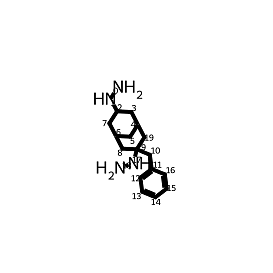 NNC1CC2CC(C1)CC(Cc1ccccc1)(NN)C2